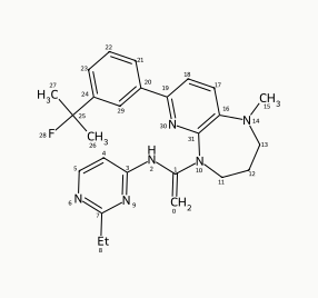 C=C(Nc1ccnc(CC)n1)N1CCCN(C)c2ccc(-c3cccc(C(C)(C)F)c3)nc21